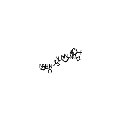 O=C(NCc1cnc(-c2ccc(NCC3(c4ncccc4F)CCC3)nn2)s1)c1ccn[nH]1